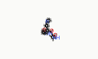 Cc1cc(C)c(CNC(=O)c2cc(-c3ccc(CN4CCCCC4)cc3)c3c(c2)[C@@H]2CCC[C@]2(C)O3)c(=O)[nH]1